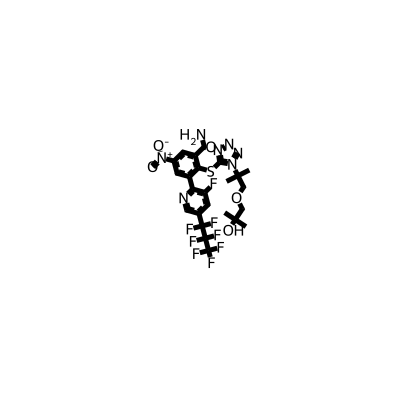 CC(C)(O)COCC(C)(C)n1nnnc1Sc1c(C(N)=O)cc([N+](=O)[O-])cc1-c1ncc(C(F)(F)C(F)(F)C(F)(F)F)cc1F